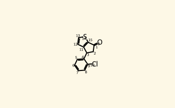 O=C1CC(c2ccccc2Cl)c2ccsc21